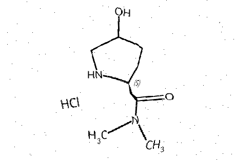 CN(C)C(=O)[C@@H]1CC(O)CN1.Cl